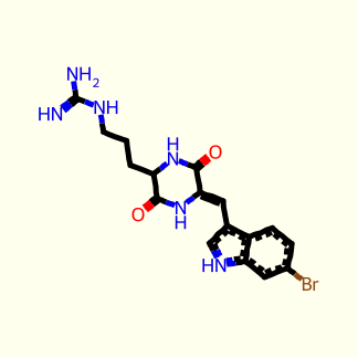 N=C(N)NCCCC1NC(=O)C(=Cc2c[nH]c3cc(Br)ccc23)NC1=O